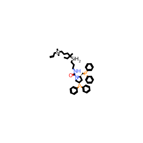 C=CC[Si](C)(C)CCCC(C)(CC)[SiH2]CCCNC(=O)N1C[C@@H](P(c2ccccc2)c2ccccc2)C[C@H]1CP(c1ccccc1)c1ccccc1